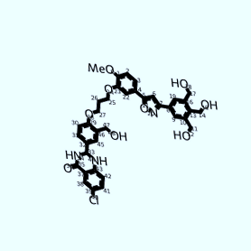 COc1ccc(-c2cc(-c3cc(CO)c(CO)c(CO)c3)no2)cc1OCCCOc1ccc(C2NC(=O)c3cc(Cl)ccc3N2)cc1CO